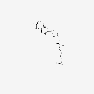 N=C(NCCC[C@H](N)C(=O)OC1CCN(c2nc3[nH]cc(C(=O)O)c(=O)c3cc2F)C1)N[N+](=O)[O-]